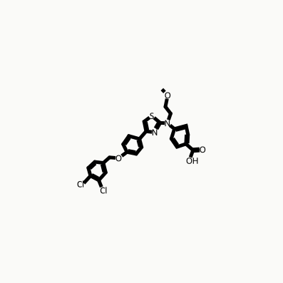 COCCN(c1ccc(C(=O)O)cc1)c1nc(-c2ccc(OCc3ccc(Cl)c(Cl)c3)cc2)cs1